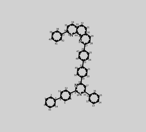 c1ccc(-c2ccc(-c3nc(-c4ccccc4)cc(-c4ccc(-c5ccc(-c6ccc7ccc8ccc(-c9ccccc9)nc8c7n6)cc5)cc4)n3)cc2)cc1